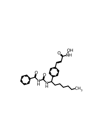 CCCCCCC(NC(=O)NC(=O)c1ccccc1)c1ccc(C=CC(=O)NO)cc1